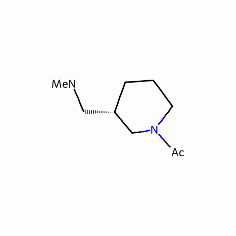 CNC[C@@H]1CCCN(C(C)=O)C1